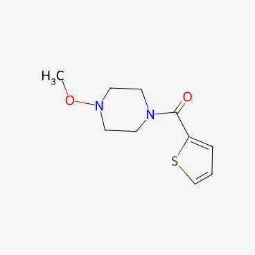 CON1CCN(C(=O)c2cccs2)CC1